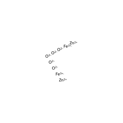 [Fe+3].[Fe+3].[O-2].[O-2].[O-2].[O-2].[O-2].[Zn+2].[Zn+2]